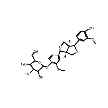 COc1cc(C2OC[C@H]3C(c4ccc(OC5OC(CO)C(O)C(O)C5O)c(OC)c4)OC[C@@H]23)ccc1O